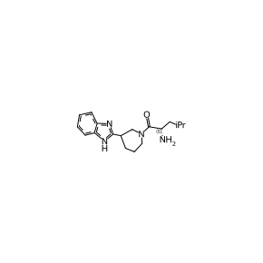 CC(C)C[C@H](N)C(=O)N1CCCC(c2nc3ccccc3[nH]2)C1